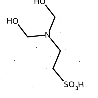 O=S(=O)(O)CCN(CO)CO